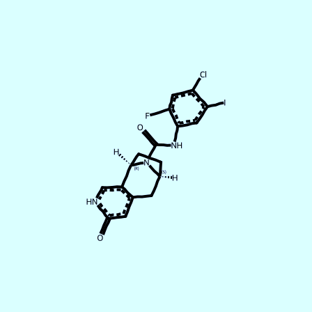 O=C(Nc1cc(I)c(Cl)cc1F)N1[C@H]2CC[C@@H]1c1c[nH]c(=O)cc1C2